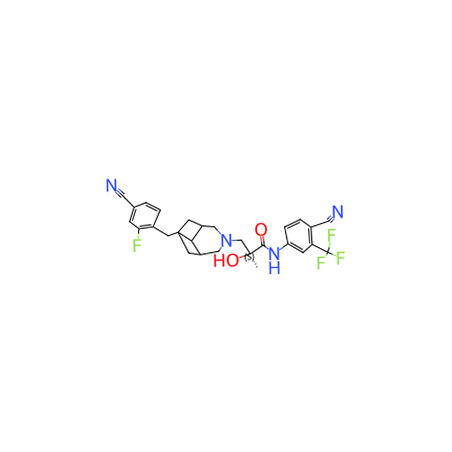 C[C@](O)(CN1CC2CC3(Cc4ccc(C#N)cc4F)CC(C1)C23)C(=O)Nc1ccc(C#N)c(C(F)(F)F)c1